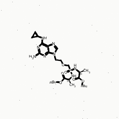 CCCCOC(=O)[C@H](C)NP(=O)(COCCn1cnc2c(NC3CC3)nc(N)nc21)N[C@@H](C)C(=O)OCCCC